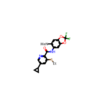 CCSc1cc(C2CC2)cnc1C(=O)Nc1cc2c(cc1NC)OC(F)(F)O2